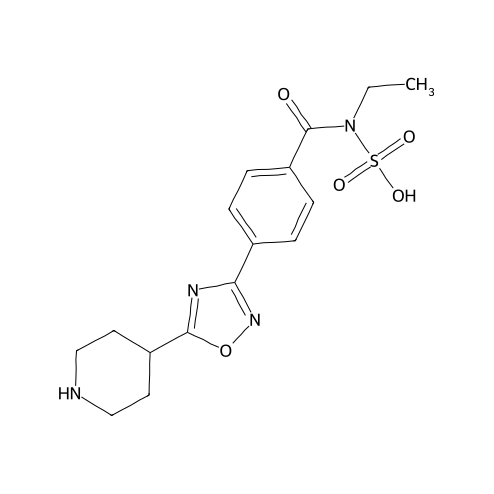 CCN(C(=O)c1ccc(-c2noc(C3CCNCC3)n2)cc1)S(=O)(=O)O